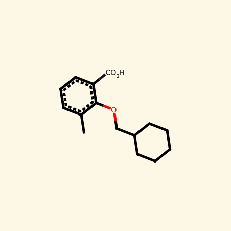 Cc1cccc(C(=O)O)c1OCC1CCCCC1